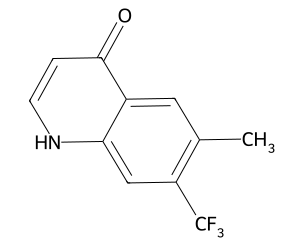 Cc1cc2c(=O)cc[nH]c2cc1C(F)(F)F